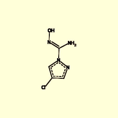 NC(=NO)n1cc(Cl)cn1